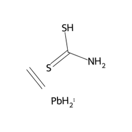 C=C.NC(=S)S.[PbH2]